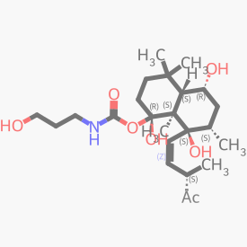 CC(=O)[C@@H](C)/C=C\[C@@]1(O)[C@@H](C)C[C@@H](O)[C@H]2C(C)(C)CC[C@@](O)(OC(=O)NCCCO)[C@@]21C